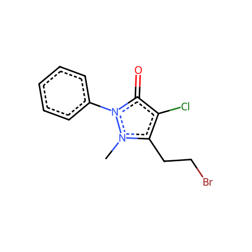 Cn1c(CCBr)c(Cl)c(=O)n1-c1ccccc1